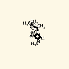 C=C(COc1cc(Cl)c(OC)cc1[N+](=O)[O-])C(=O)OC(C)(C)C